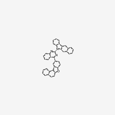 c1ccc2cc3c(cc2c1)c1ccccc1n3-c1nc(-c2ccc3oc4ccc5ccccc5c4c3c2)c2ccccc2n1